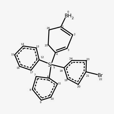 BC1=CC=C([Si](c2ccccc2)(c2ccccc2)c2ccc(Br)cc2)CC1